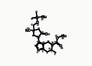 C[C@H]1Cn2ncc(N3CC(C#N)(CO[Si](C)(C)C(C)(C)C)CC3=O)c2CN1C(=O)OC(C)(C)C